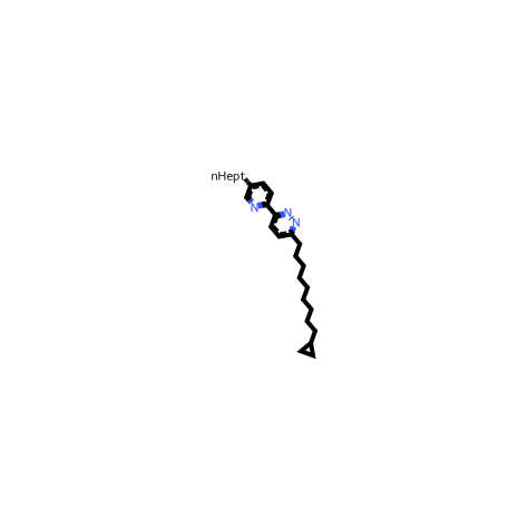 CCCCCCCc1ccc(-c2ccc(CCCCCCCCCC3CC3)nn2)nc1